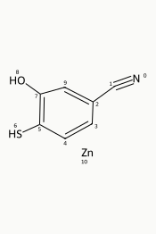 N#Cc1ccc(S)c(O)c1.[Zn]